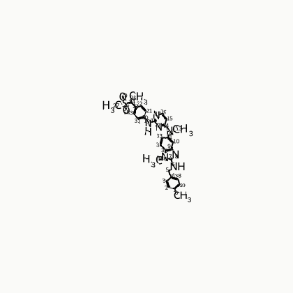 Cc1ccc(CNc2nc3cc(N(C)c4ccnc(Nc5ccc(C(C)S(C)(=O)=O)cc5)n4)ccc3n2C)cc1